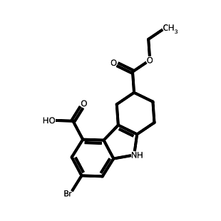 CCOC(=O)C1CCc2[nH]c3cc(Br)cc(C(=O)O)c3c2C1